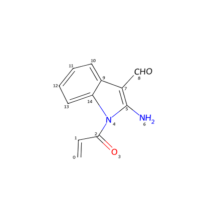 C=CC(=O)n1c(N)c(C=O)c2ccccc21